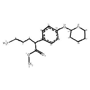 CCCCC(C(=O)OC)c1ccc(OC2CCCCO2)cc1